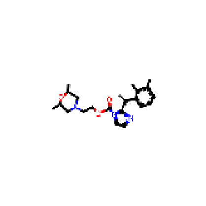 Cc1cccc([C@H](C)c2nccn2C(=O)OCCN2CC(C)OC(C)C2)c1C